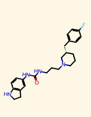 O=C(NCCCN1CCC[C@@H](Cc2ccc(F)cc2)C1)Nc1ccc2c(c1)CCN2